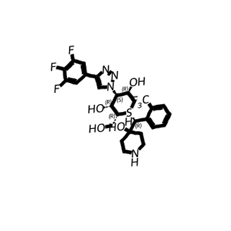 OC[C@@H]1[C@H](O)[C@@H](n2cc(-c3cc(F)c(F)c(F)c3)nn2)[C@@H](O)C[SH]1[C@H](c1ccccc1C(F)(F)F)C1(O)CCNCC1